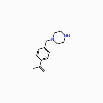 C=C(C)c1ccc(CN2CCNCC2)cc1